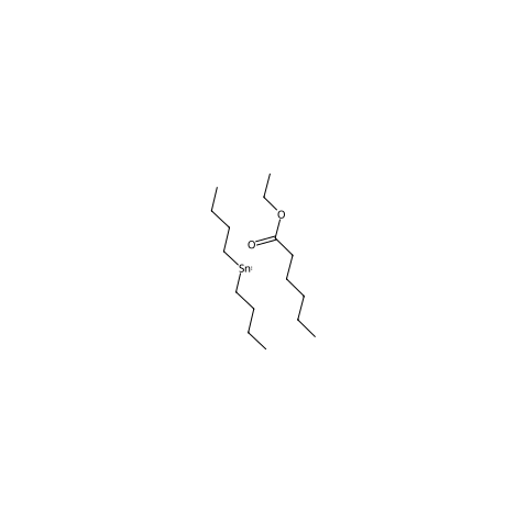 CCCCCC(=O)OCC.CCC[CH2][Sn][CH2]CCC